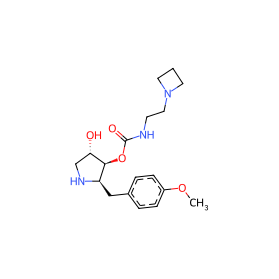 COc1ccc(C[C@H]2NC[C@H](O)[C@H]2OC(=O)NCCN2CCC2)cc1